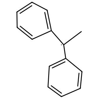 C[C](c1ccccc1)c1ccccc1